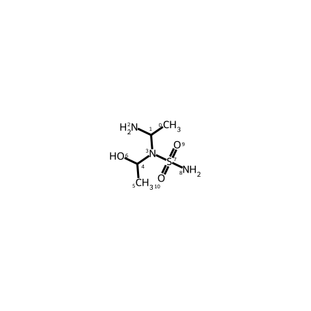 CC(N)N(C(C)O)S(N)(=O)=O